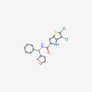 O=C(NC(c1ccccc1)c1ccon1)c1cc2sc(Cl)c(Cl)c2[nH]1